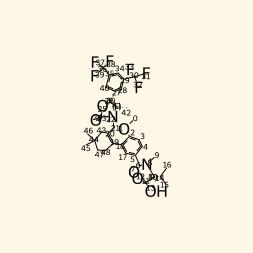 COc1ccc(C(=O)N(C)[C@@H](C(=O)O)C(C)C)cc1C1=C(CN2C(=O)O[C@H](c3cc(C(F)(F)F)cc(C(F)(F)F)c3)[C@@H]2C)CC(C)(C)CC1